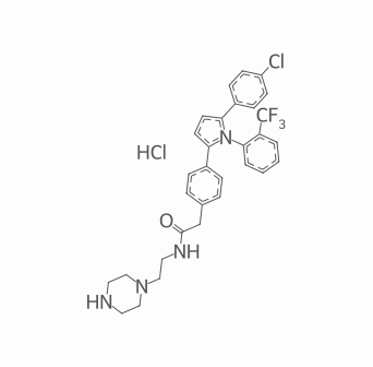 Cl.O=C(Cc1ccc(-c2ccc(-c3ccc(Cl)cc3)n2-c2ccccc2C(F)(F)F)cc1)NCCN1CCNCC1